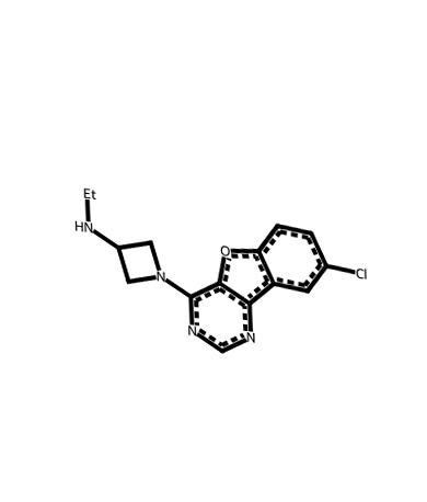 CCNC1CN(c2ncnc3c2oc2ccc(Cl)cc23)C1